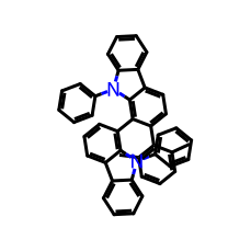 Cc1cccc(C)c1-c1ccc2c3ccccc3n(-c3ccccc3)c2c1-c1cccc2c3ccccc3n(-c3ccccc3)c12